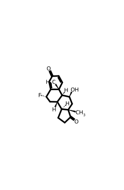 C[C@]12C=CC(=O)C=C1[C@@H](F)C[C@@H]1[C@@H]2[C@@H](O)C[C@]2(C)C(=O)CC[C@@H]12